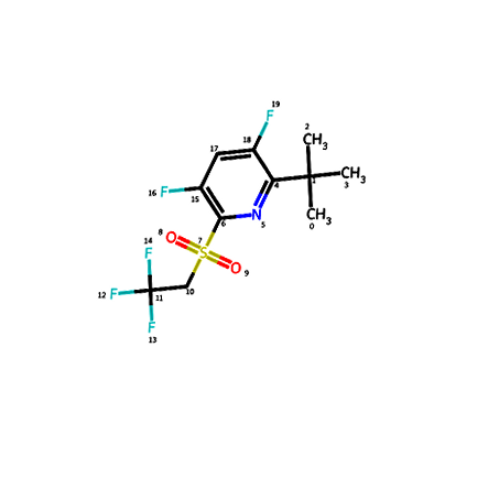 CC(C)(C)c1nc(S(=O)(=O)CC(F)(F)F)c(F)cc1F